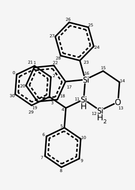 c1ccc(C(c2ccccc2)[SiH]2[SiH2]OCC[Si]2(c2ccccc2)c2ccccc2)cc1